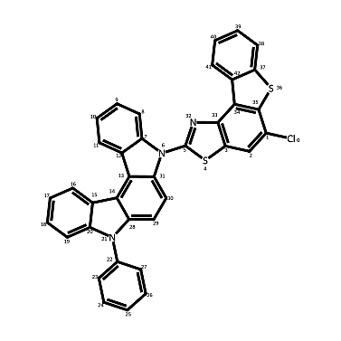 Clc1cc2sc(-n3c4ccccc4c4c5c6ccccc6n(-c6ccccc6)c5ccc43)nc2c2c1sc1ccccc12